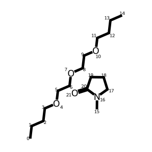 CCCCOCCOCCOCCCC.CN1CCCC1=O